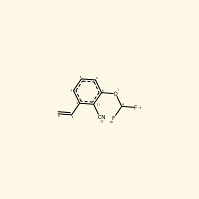 C=Cc1cccc(OC(F)F)c1C#N